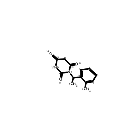 Cc1ccccc1C(C)N1C(=O)CC(=O)NC1=O